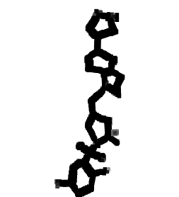 C[C@@H]1CC(Cn2ccc3nc(-c4cn[nH]c4)ccc32)CN1S(=O)(=O)c1cc(F)ccc1F